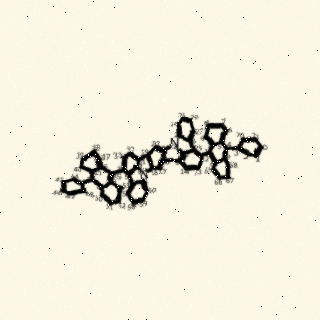 c1ccc(-c2c3ccccc3c(-c3ccc4c5cc6c(cc5n5c7ccccc7c3c45)c3ccc(-c4c5ccccc5c(-c5ccccc5)c5ccccc45)c4c5ccccc5n6c34)c3ccccc23)cc1